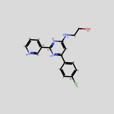 OCCNc1cc(-c2ccc(Cl)cc2)nc(-c2cccnc2)n1